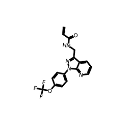 C=CC(=O)NCc1nn(-c2ccc(OC(F)(F)F)cc2)c2ncccc12